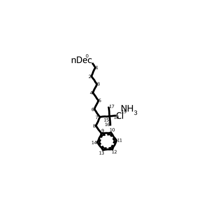 CCCCCCCCCCCCCCCCC(Cc1ccccc1)C(C)(C)Cl.N